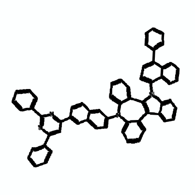 c1ccc(-c2cc(-c3ccc4cc(N5c6ccccc6-c6c(n(-c7ccc(-c8ccccc8)c8ccccc78)c7ccccc67)-c6ccccc65)ccc4c3)nc(-c3ccccc3)n2)cc1